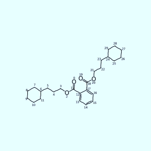 O=C(OCCCC1CCCCC1)c1ccccc1C(=O)OCCCC1CCCCC1